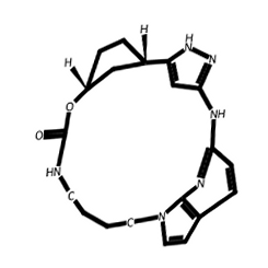 O=C1NCCCCn2ccc3ccc(nc32)Nc2cc([nH]n2)[C@H]2CC[C@H](C2)O1